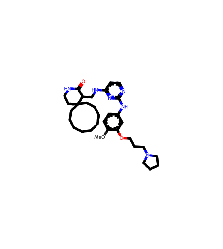 COc1ccc(Nc2nccc(NCC3C(=O)NCCC34CCCCCCCCC4)n2)cc1OCCCN1CCCC1